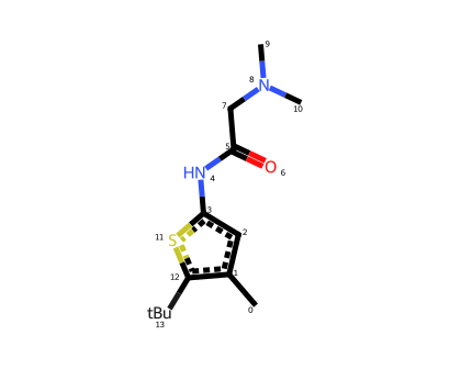 Cc1cc(NC(=O)CN(C)C)sc1C(C)(C)C